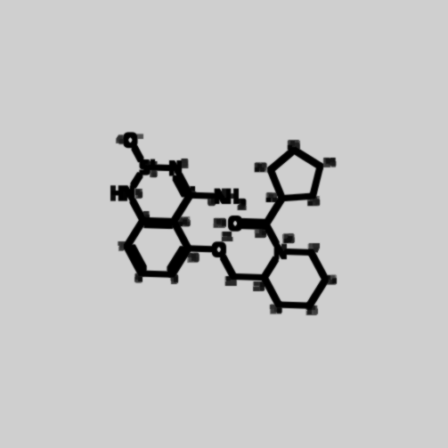 NC1=N[S+]([O-])Nc2cccc(OCC3CCCCN3C(=O)C3CCCC3)c21